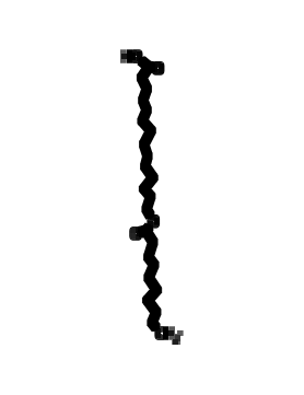 [CH2]CCCCCCCCC(=O)OCCCCCCCCCCCCCC(=O)O